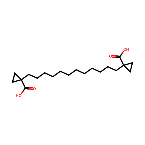 O=C(O)C1(CCCCCCCCCCCCC2(C(=O)O)CC2)CC1